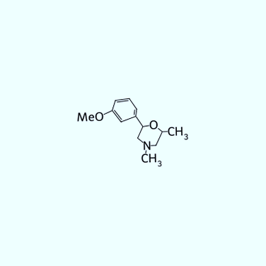 COc1cccc(C2CN(C)CC(C)O2)c1